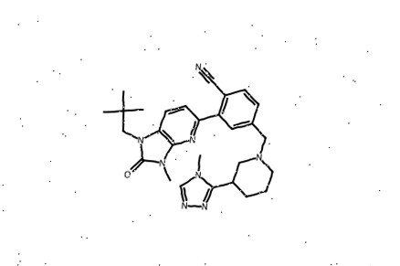 Cn1cnnc1C1CCCN(Cc2ccc(C#N)c(-c3ccc4c(n3)n(C)c(=O)n4CC(C)(C)C)c2)C1